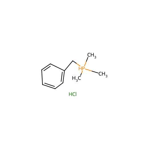 C[PH](C)(C)Cc1ccccc1.Cl